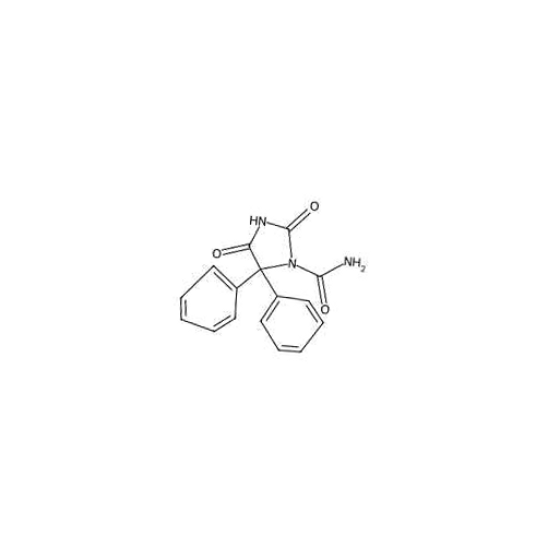 NC(=O)N1C(=O)NC(=O)C1(c1ccccc1)c1ccccc1